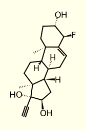 C#C[C@]1(O)[C@H](O)C[C@H]2[C@@H]3CC=C4[C@H](F)[C@@H](O)CC[C@]4(C)[C@H]3CC[C@@]21C